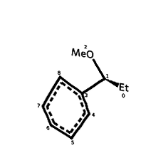 CC[C@H](OC)c1ccccc1